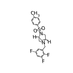 Cc1ccc(S(=O)(=O)N2C[C@H]3C[C@@H]2CN3Cc2cc(F)cc(F)c2F)cc1